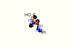 Cc1cccc(C)c1-c1cc(OC[C@@H](C[C@@H]2CCCCO2)NCc2cnc3cc(C(C)C)n(C)c3n2)nc(NS(=O)(=O)c2cccc(C(=O)O)c2)n1